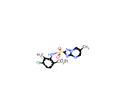 CCOC(=O)c1ccc(Cl)c(C)c1NS(=O)(=O)c1nc2ncc(C)cn2n1